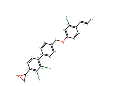 C/C=C/c1ccc(OCc2ccc(-c3ccc(C4CO4)c(F)c3F)cc2)cc1F